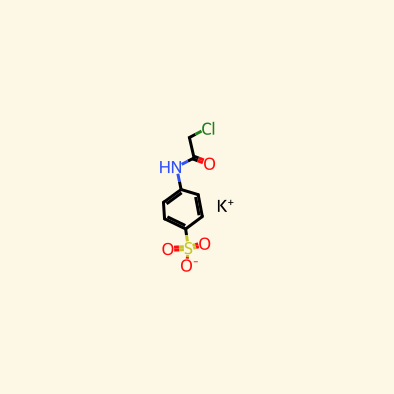 O=C(CCl)Nc1ccc(S(=O)(=O)[O-])cc1.[K+]